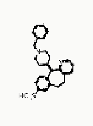 O=S(=O)(O)c1ccc2c(c1)CCc1cccnc1C2=C1CCN(Cc2ccccc2)CC1